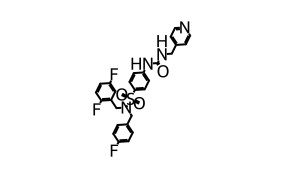 O=C(NCc1ccncc1)Nc1ccc(S(=O)(=O)N(Cc2ccc(F)cc2)Cc2cc(F)ccc2F)cc1